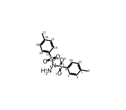 Cc1ccc(S(=O)(=O)N(N)S(=O)(=O)c2ccc(C)cc2)cc1